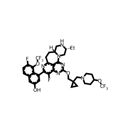 CC[C@@H]1CN2c3nc(OCC4(CN5CCC(OC(F)(F)F)CC5)CC4)nc4c(F)c(-c5cc(O)cc6ccc(F)c(OC(F)(F)F)c56)nc(c34)CC[C@@H]2CN1